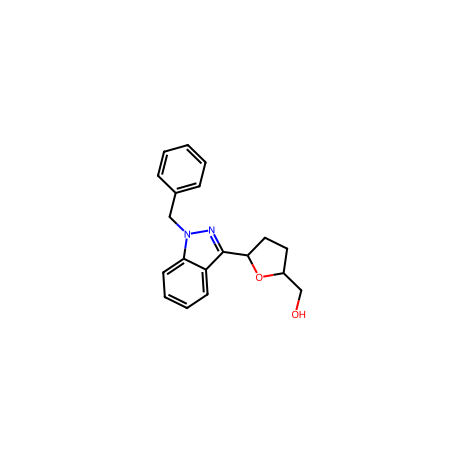 OCC1CCC(c2nn(Cc3ccccc3)c3ccccc23)O1